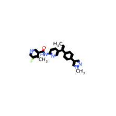 C/C=C(/c1ccc(-c2cnn(C)c2)cc1)c1ccc(NC(=O)c2cncc(F)c2C)nc1